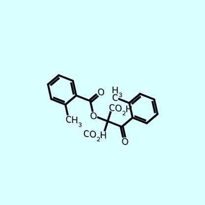 Cc1ccccc1C(=O)OC(C(=O)O)(C(=O)O)C(=O)c1ccccc1C